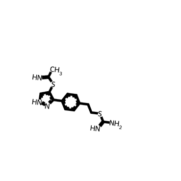 CC(=N)Sc1c[nH]nc1-c1ccc(CCSC(=N)N)cc1